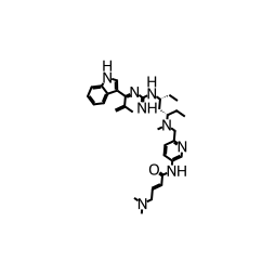 C=C(C)/C(=N\C(=N)N[C@H](CC)C[C@H](CC)N(C)Cc1ccc(NC(=O)/C=C/CN(C)C)cn1)c1c[nH]c2ccccc12